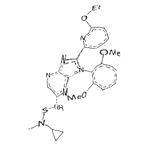 CCOc1cccc(-c2nc3ncc(NSN(C)C4CC4)nc3n2-c2c(OC)cccc2OC)n1